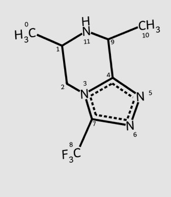 CC1Cn2c(nnc2C(F)(F)F)C(C)N1